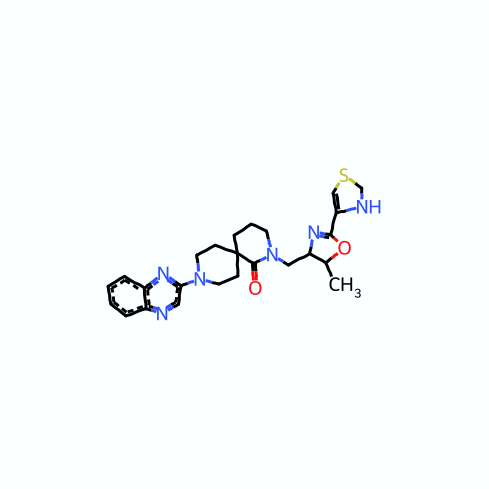 CC1OC(C2=CSCN2)=NC1CN1CCCC2(CCN(c3cnc4ccccc4n3)CC2)C1=O